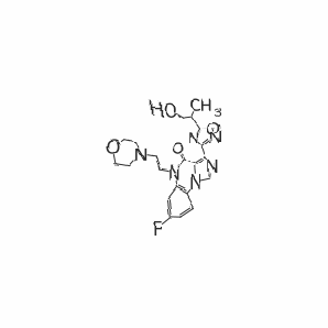 CC(CO)c1nc(-c2ncn3c2c(=O)n(CCN2CCOCC2)c2cc(F)ccc23)no1